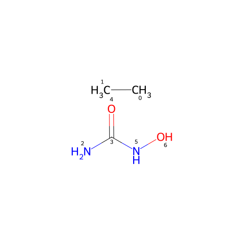 CC.NC(=O)NO